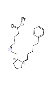 CC(C)OC(=O)CCC/C=C\C[C@H]1CCC[C@@H]1CCCCCc1ccccc1